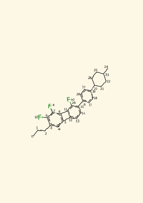 CCCc1cc2c(c(F)c1F)-c1c-2ccc(-c2ccc(C3CCC(C)CC3)cc2)c1F